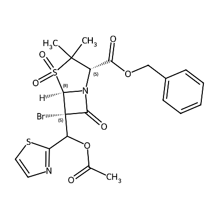 CC(=O)OC(c1nccs1)[C@]1(Br)C(=O)N2[C@@H](C(=O)OCc3ccccc3)C(C)(C)S(=O)(=O)[C@@H]21